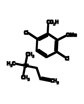 C=CC[N+](C)(C)C.COc1c(Cl)ccc(Cl)c1C(=O)O